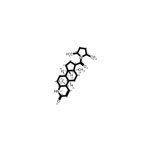 CC1CCC(C)N1C(=O)C1CC[C@H]2[C@@H]3CCC4NC(=O)C=C[C@]4(C)[C@@H]3CC[C@]12C